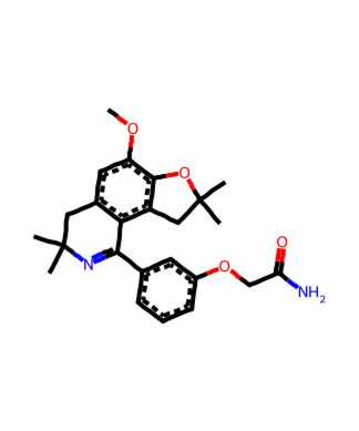 COc1cc2c(c3c1OC(C)(C)C3)C(c1cccc(OCC(N)=O)c1)=NC(C)(C)C2